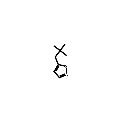 CC(C)(C)Cc1ccns1